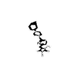 CN1C(=O)NC(=O)/C1=C/c1ccnc(N2CCN(c3ccccc3)CC2)n1